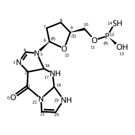 O=C1C2N=CN([C@H]3CC[C@@H](CO[P@](O)S)O3)C2NC2NC=CN12